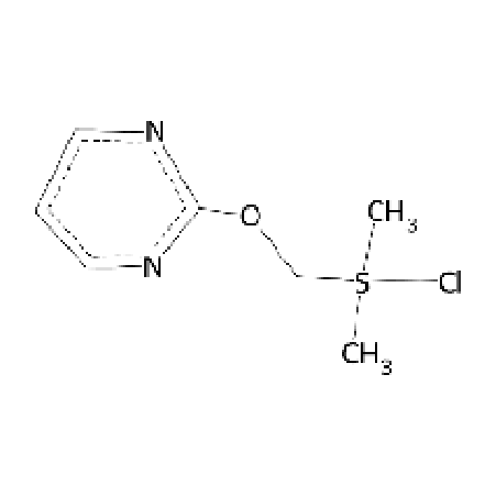 CS(C)(Cl)COc1ncccn1